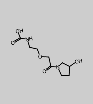 O=C(O)NCCOCC(=O)N1CCC(O)C1